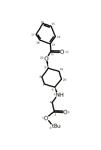 CC(C)(C)OC(=O)CN[C@H]1CC[C@@H](OC(=O)c2ccccc2)CC1